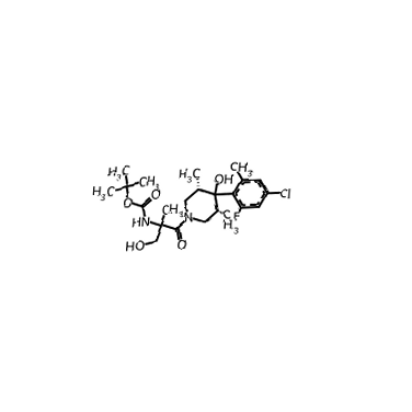 Cc1cc(Cl)cc(F)c1C1(O)[C@H](C)CN(C(=O)C(C)(CO)NC(=O)OC(C)(C)C)C[C@@H]1C